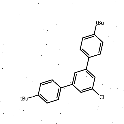 CC(C)(C)c1ccc(-c2[c]c(Cl)cc(-c3ccc(C(C)(C)C)cc3)c2)cc1